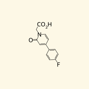 O=C(O)Cn1ccc(-c2ccc(F)cc2)cc1=O